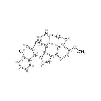 COc1ccc(-c2noc(N(C(C)=O)c3ccccc3Cl)c2-c2ccncc2)cc1OC